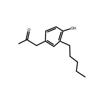 CCCCCc1cc(CC(C)=O)ccc1O